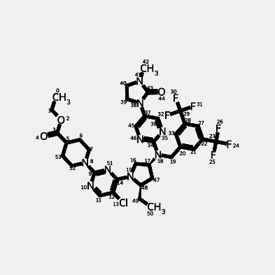 CCOC(=O)C1CCN(c2ncc(Cl)c(N3C[C@@H](N(Cc4cc(C(F)(F)F)cc(C(F)(F)F)c4)c4ncc(N5CCN(C)C5=O)cn4)C[C@H]3CC)n2)CC1